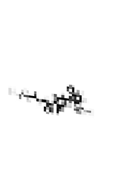 CCCCC[C@H](O)c1ccc(N2C(=O)CC[C@@H]2CO)cc1